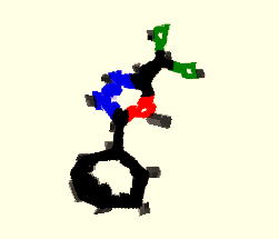 ClC(Cl)c1nnc(-c2ccccc2)o1